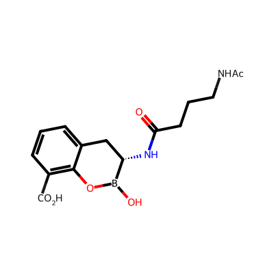 CC(=O)NCCCC(=O)N[C@H]1Cc2cccc(C(=O)O)c2OB1O